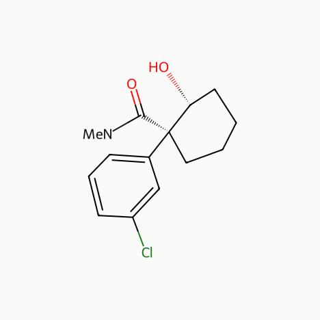 CNC(=O)[C@@]1(c2cccc(Cl)c2)CCCC[C@H]1O